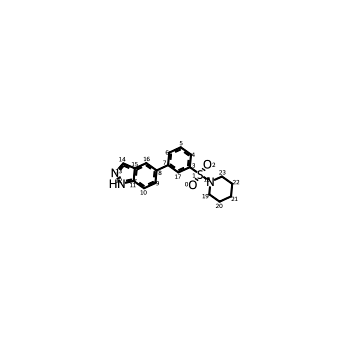 O=S(=O)(c1cccc(-c2ccc3[nH]ncc3c2)c1)N1CCCCC1